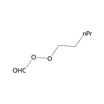 CCCCCOO[C]=O